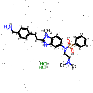 CCN(CC)CCN(c1ccc2c(c1)nc(CCc1ccc(CN)cc1)n2C)S(=O)(=O)c1ccccc1.Cl.Cl